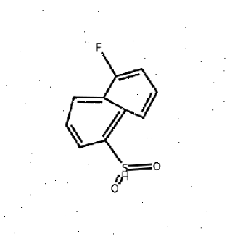 O=[SH](=O)c1cccc2c(F)cccc12